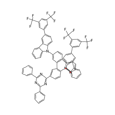 FC(F)(F)c1cc(-c2ccc3c(c2)c2ccccc2n3-c2ccc(-c3cccnc3)c(-c3cc(-c4nc(-c5ccccc5)nc(-c5ccccc5)n4)ccc3-n3c4ccccc4c4cc(-c5cc(C(F)(F)F)cc(C(F)(F)F)c5)ccc43)c2)cc(C(F)(F)F)c1